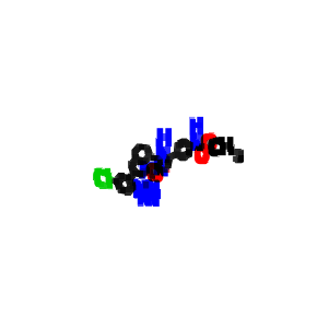 COC(=O)Nc1ccc(-c2cnc(C3CCCc4cc(-c5cc(Cl)ccc5-n5cnnn5)c[n+]([O-])c43)[nH]2)cc1